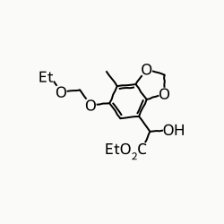 CCOCOc1cc(C(O)C(=O)OCC)c2c(c1C)OCO2